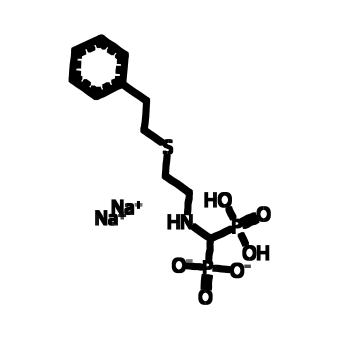 O=P([O-])([O-])C(NCCSCCc1ccccc1)P(=O)(O)O.[Na+].[Na+]